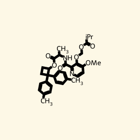 COc1ccnc(C(=O)NC(C)C(=O)OC2CCC2(c2ccc(C)cc2)c2ccc(C)cc2)c1OCOC(=O)C(C)C